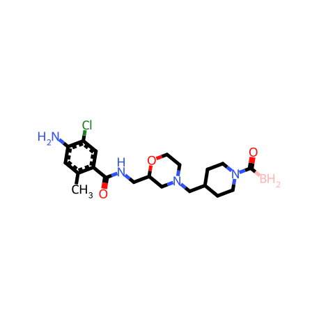 BC(=O)N1CCC(CN2CCOC(CNC(=O)c3cc(Cl)c(N)cc3C)C2)CC1